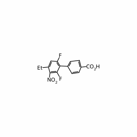 CCc1cc(F)c(-c2ccc(C(=O)O)cc2)c(F)c1[N+](=O)[O-]